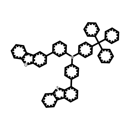 c1ccc(C(c2ccccc2)(c2ccccc2)c2ccc(N(c3ccc(-c4cccc5c4sc4ccccc45)cc3)c3cccc(-c4ccc5oc6ccccc6c5c4)c3)cc2)cc1